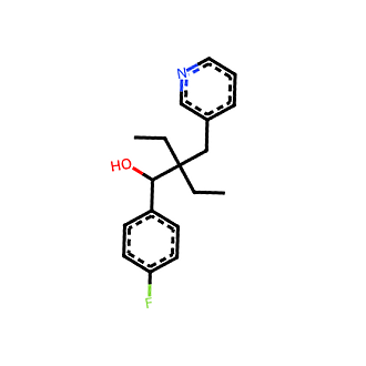 CCC(CC)(Cc1cccnc1)C(O)c1ccc(F)cc1